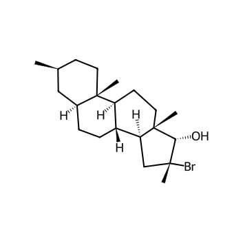 C[C@H]1CC[C@@]2(C)[C@@H](CC[C@@H]3[C@@H]2CC[C@@]2(C)[C@H]3C[C@@](C)(Br)[C@H]2O)C1